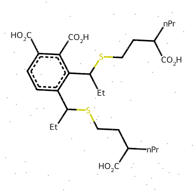 CCCC(CCSC(CC)c1ccc(C(=O)O)c(C(=O)O)c1C(CC)SCCC(CCC)C(=O)O)C(=O)O